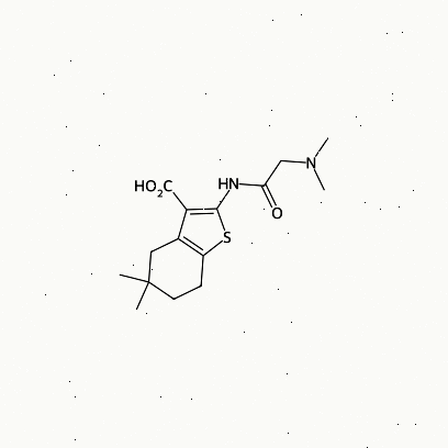 CN(C)CC(=O)Nc1sc2c(c1C(=O)O)CC(C)(C)CC2